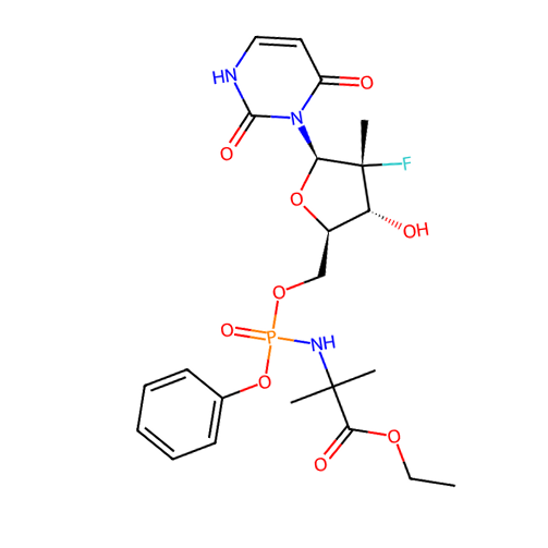 CCOC(=O)C(C)(C)NP(=O)(OC[C@H]1O[C@@H](n2c(=O)cc[nH]c2=O)[C@](C)(F)[C@@H]1O)Oc1ccccc1